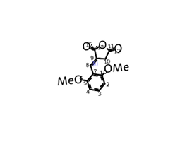 COc1cccc(OC)c1/C=C1\CC(=O)OC1=O